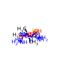 CCCC[C@H](NC(=O)[C@H](CCCNC(=N)N)NC(C)=O)C(=O)N[C@@H](CCCC)C(=O)N[C@@H](CCCNC(=N)N)C(=O)N[C@H](CS)C(=O)O